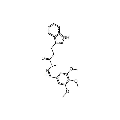 COc1cc(/C=N\NC(=O)CCc2c[nH]c3ccccc23)cc(OC)c1OC